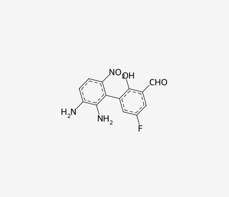 Nc1ccc([N+](=O)[O-])c(-c2cc(F)cc(C=O)c2O)c1N